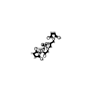 O=C(CN(CCCN1C(=O)C=CC1=O)P(=O)(O)O)ON1C(=O)CCC1=O